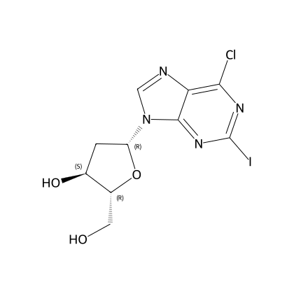 OC[C@H]1O[C@@H](n2cnc3c(Cl)nc(I)nc32)C[C@@H]1O